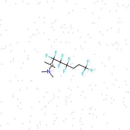 CN(C)[Si](C)(C)C(F)(F)C(F)(F)C(F)(F)CCC(F)(F)F